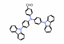 O=Cc1ccc(N(c2ccc(-n3c4ccccc4c4ccccc43)cc2)c2ccc(-n3c4ccccc4c4ccccc43)cc2)cc1